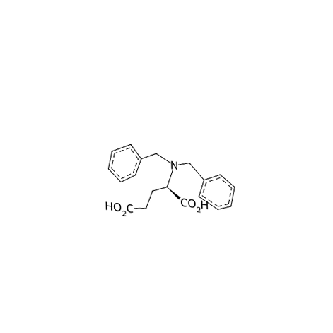 O=C(O)CC[C@H](C(=O)O)N(Cc1ccccc1)Cc1ccccc1